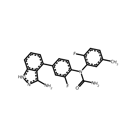 Cc1ccc(F)c(N(C(N)=O)c2ccc(-c3cccc4[nH]nc(N)c34)cc2F)c1